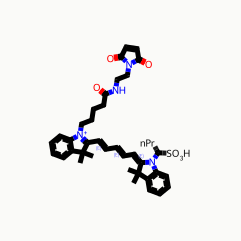 CCCC(N1/C(=C/C=C/C=C/C2=[N+](CCCCC(=O)NCCN3C(=O)C=CC3=O)c3ccccc3C2(C)C)C(C)(C)c2ccccc21)S(=O)(=O)O